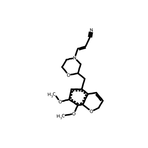 COc1cc(CC2CN(C=CC#N)CCO2)c2c(c1OC)OCC=C2